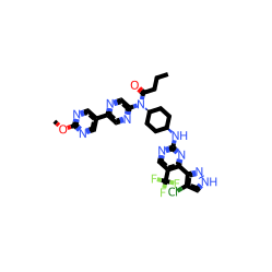 CCCC(=O)N(c1cnc(-c2cnc(OC)nc2)cn1)[C@H]1CC[C@H](Nc2ncc(C(F)(F)F)c(-c3n[nH]cc3Cl)n2)CC1